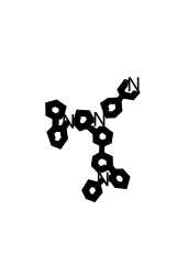 c1ccc(-n2c3ccccc3c3cc(-c4ccc5c(c4)c4cc(-n6c7ccccc7c7ccccc76)ccc4n5-c4ccc(-c5ccncc5)cc4)ccc32)cc1